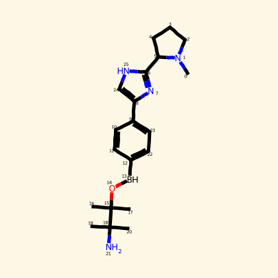 CN1CCCC1c1nc(-c2ccc(BOC(C)(C)C(C)(C)N)cc2)c[nH]1